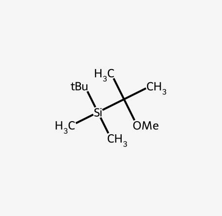 COC(C)(C)[Si](C)(C)C(C)(C)C